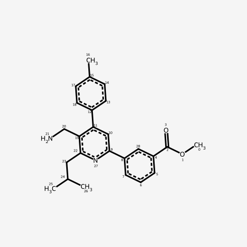 COC(=O)c1cccc(-c2cc(-c3ccc(C)cc3)c(CN)c(CC(C)C)n2)c1